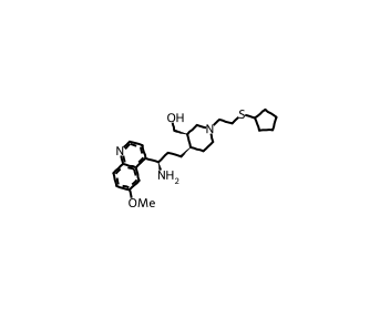 COc1ccc2nccc([C@H](N)CC[C@@H]3CCN(CCSC4CCCC4)C[C@@H]3CO)c2c1